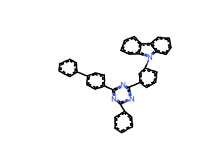 c1ccc(-c2ccc(-c3nc(-c4ccccc4)nc(-c4cccc(-n5c6ccccc6c6ccccc65)c4)n3)cc2)cc1